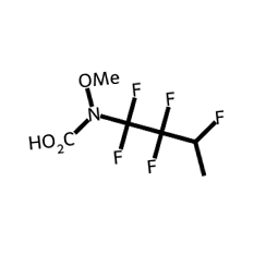 CON(C(=O)O)C(F)(F)C(F)(F)C(C)F